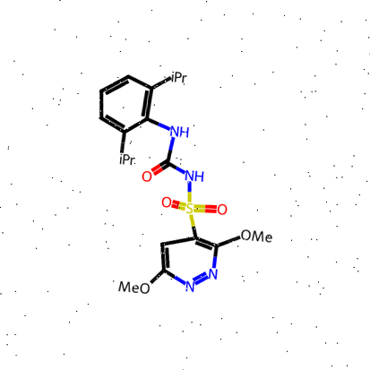 COc1cc(S(=O)(=O)NC(=O)Nc2c(C(C)C)cccc2C(C)C)c(OC)nn1